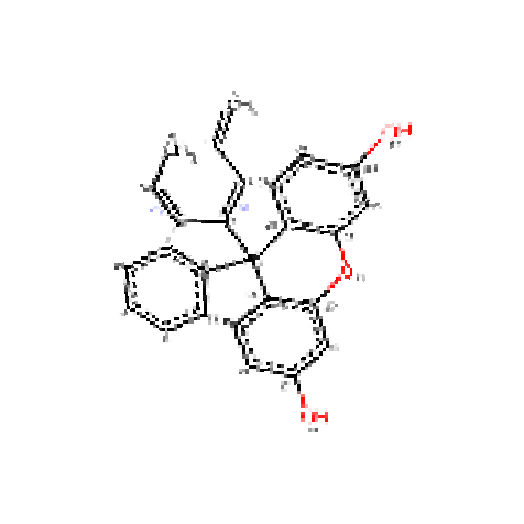 C=C/C=C(\C=C/C)C1(c2ccccc2)c2ccc(O)cc2Oc2cc(O)ccc21